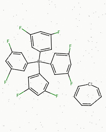 Fc1cc(F)cc([B-](c2cc(F)cc(F)c2)(c2cc(F)cc(F)c2)c2cc(F)cc(F)c2)c1.c1ccc[cH+]cc1